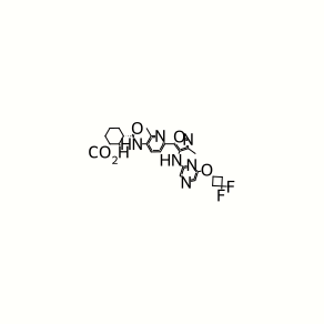 Cc1nc(-c2onc(C)c2Nc2cncc(OC3CC(F)(F)C3)n2)ccc1NC(=O)[C@H]1CCCC[C@@H]1C(=O)O